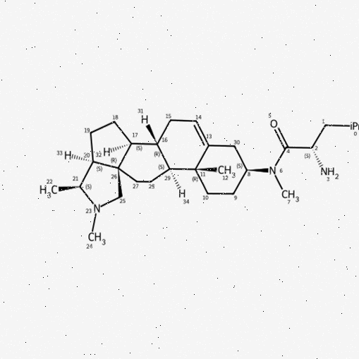 CC(C)C[C@H](N)C(=O)N(C)[C@H]1CC[C@@]2(C)C(=CC[C@H]3[C@@H]4CC[C@@H]5[C@H](C)N(C)C[C@@]54CC[C@@H]32)C1